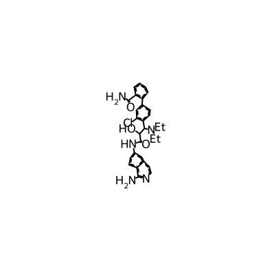 CCN(CC)C(c1ccc(-c2ccccc2C(N)=O)cc1Cl)C(O)C(=O)Nc1ccc2c(N)nccc2c1